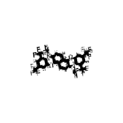 N#C/N=C1\C=CC2=C(Oc3cc(C(F)(F)F)cc(C(F)(F)F)c3)/C(=N/C#N)C=CC2=C1Oc1cc(C(F)(F)F)cc(C(F)(F)F)c1